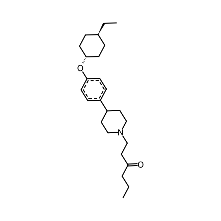 CCCC(=O)CCN1CCC(c2ccc(O[C@H]3CC[C@H](CC)CC3)cc2)CC1